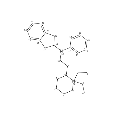 CC[N+]1(CC)CCCCC1CCN(c1ccccc1)C1Cc2ccccc2C1